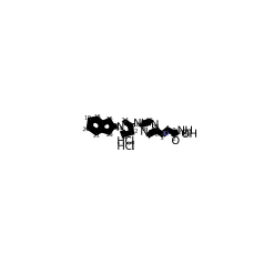 Cl.Cl.O=C(/C=C/c1cnc(N[C@@H]2CCN(C3Cc4ccccc4C3)C2)cn1)NO